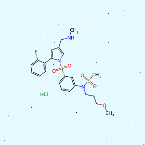 CNCc1cc(-c2ccccc2F)n(S(=O)(=O)c2cccc(N(CCCOC)S(C)(=O)=O)c2)c1.Cl